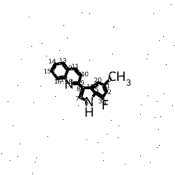 Cc1cc(F)c2[nH]cc(-c3ccc4ccccc4n3)c2c1